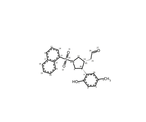 Cc1ccc(O)c([C@@H]2CN(S(=O)(=O)c3cccc4ccccc34)C[C@@H]2CC=O)c1